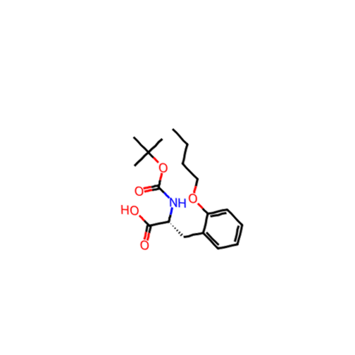 CCCCOc1ccccc1C[C@@H](NC(=O)OC(C)(C)C)C(=O)O